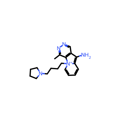 Cc1nncc2c1[N+]1(CCCCN3CCCC3)C=CC=CC1=C2N